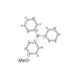 CSc1ccc(P(c2ccccc2)c2ccccc2)cc1